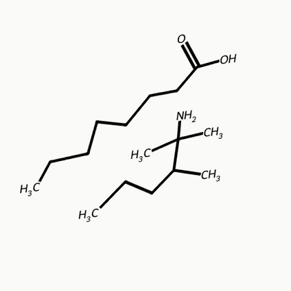 CCCC(C)C(C)(C)N.CCCCCCCC(=O)O